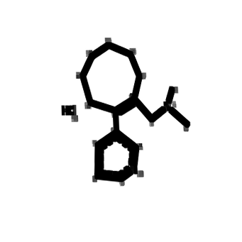 CN(C)C/C1=C(\c2cccnc2)CCCCCC1.Cl